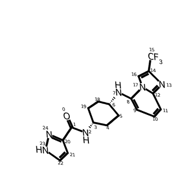 O=C(N[C@H]1CC[C@@H](Nc2cccc3nc(C(F)(F)F)cn23)CC1)c1cc[nH]n1